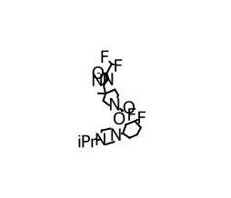 CC(C)N1CCN(C2CCCC(F)(F)[C@@H]2OC(=O)N2CCC(C)(c3noc(C(F)F)n3)CC2)CC1